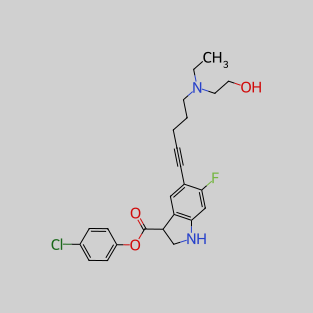 CCN(CCO)CCCC#Cc1cc2c(cc1F)NCC2C(=O)Oc1ccc(Cl)cc1